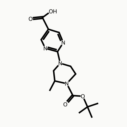 CC1CN(c2ncc(C(=O)O)cn2)CCN1C(=O)OC(C)(C)C